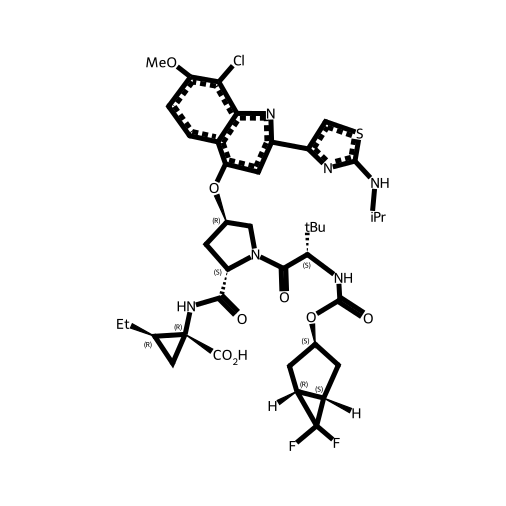 CC[C@@H]1C[C@]1(NC(=O)[C@@H]1C[C@@H](Oc2cc(-c3csc(NC(C)C)n3)nc3c(Cl)c(OC)ccc23)CN1C(=O)[C@@H](NC(=O)O[C@@H]1C[C@@H]2[C@H](C1)C2(F)F)C(C)(C)C)C(=O)O